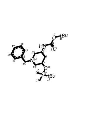 CC(C)(C)OC(=O)N[C@H]1CC(O[Si](C)(C)C(C)(C)C)CN(Cc2ccccc2)C1